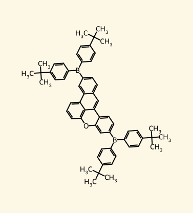 CC(C)(C)c1ccc(B(c2ccc(C(C)(C)C)cc2)c2ccc3c(c2)Oc2cccc4c2c-3cc2ccc(B(c3ccc(C(C)(C)C)cc3)c3ccc(C(C)(C)C)cc3)cc24)cc1